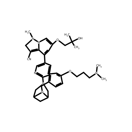 CN(C)CCCOc1ccc(CN2C3CC2CN(c2ccc(C4=CC(OCC(C)(C)O)=CN5C4=C(C#N)CN5C)cn2)C3)cc1